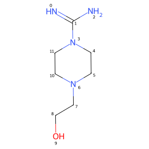 N=C(N)N1CCN(CCO)CC1